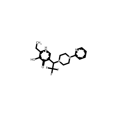 CCc1[nH]cc(C(N2CCN(c3ccccn3)CC2)C(F)(F)F)c(=O)c1O